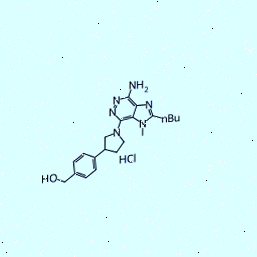 CCCCc1nc2c(N)nnc(N3CCC(c4ccc(CO)cc4)C3)c2n1C.Cl